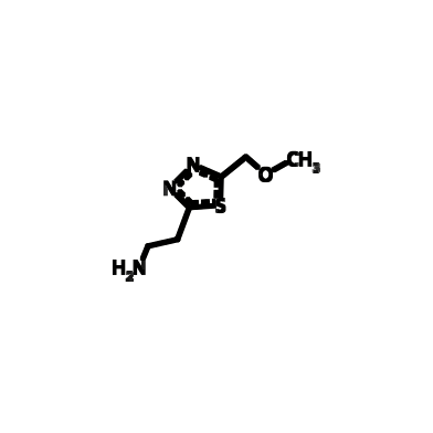 COCc1nnc(CCN)s1